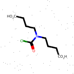 O=C(O)CCCN(CCCC(=O)O)C(=O)Cl